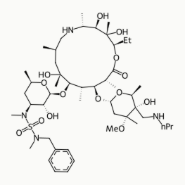 CCCNC[C@]1(O)[C@H](C)O[C@@H](O[C@H]2[C@H](C)[C@@H](O[C@@H]3O[C@H](C)C[C@H](N(C)S(=O)(=O)N(C)Cc4ccccc4)[C@H]3O)[C@](C)(O)C[C@@H](C)CN[C@H](C)[C@@H](O)[C@](C)(O)[C@@H](CC)OC(=O)[C@@H]2C)C[C@@]1(C)OC